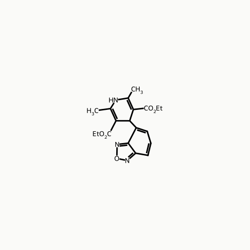 CCOC(=O)C1=C(C)NC(C)=C(C(=O)OCC)C1c1cccc2nonc12